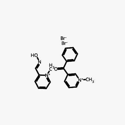 C[n+]1cccc(C(=O)c2ccccc2)c1.C[n+]1ccccc1C=NO.[Br-].[Br-]